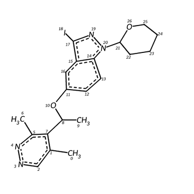 Cc1cnnc(C)c1C(C)Oc1ccc2c(c1)c(I)nn2C1CCCCO1